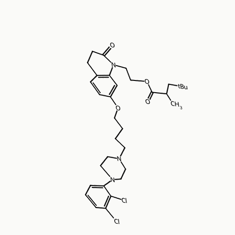 CC(CC(C)(C)C)C(=O)OCCN1C(=O)CCc2ccc(OCCCCN3CCN(c4cccc(Cl)c4Cl)CC3)cc21